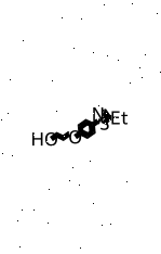 CCc1cnc(-c2ccc(OCCCO)cc2)s1